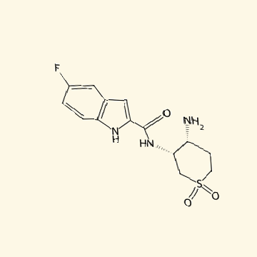 N[C@@H]1CCS(=O)(=O)C[C@@H]1NC(=O)c1cc2cc(F)ccc2[nH]1